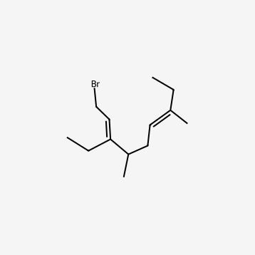 CCC(C)=CCC(C)C(=CCBr)CC